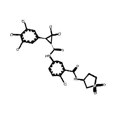 O=C(NC1CCS(=O)(=O)C1)c1cc(NC(=O)[C@@H]2[C@@H](c3cc(Cl)c(Cl)c(Cl)c3)C2(Cl)Cl)ccc1Cl